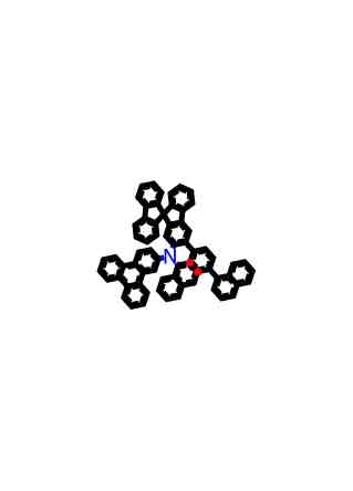 c1ccc2c(c1)-c1ccccc1C21c2ccccc2-c2cc(-c3ccc(-c4cccc5ccccc45)cc3)c(N(c3ccc4c5ccccc5c5ccccc5c4c3)c3cccc4ccccc34)cc21